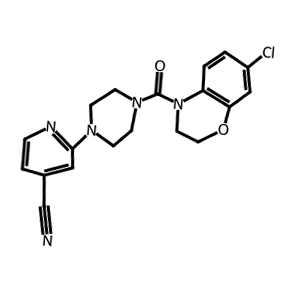 N#Cc1ccnc(N2CCN(C(=O)N3CCOc4cc(Cl)ccc43)CC2)c1